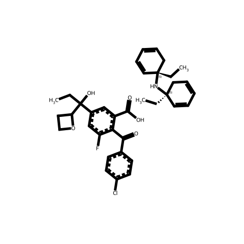 CCC(O)(c1cc(F)c(C(=O)c2ccc(Cl)cc2)c(C(=O)O)c1)C1CCO1.CC[C@@]1(N[C@]2(CC)C=CC=CC2)C=CC=CC1